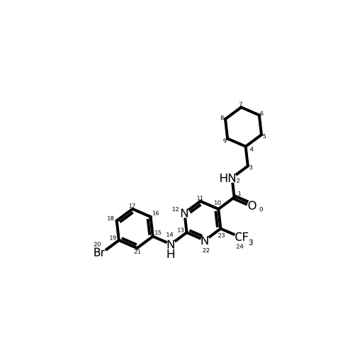 O=C(NCC1CCCCC1)c1cnc(Nc2cccc(Br)c2)nc1C(F)(F)F